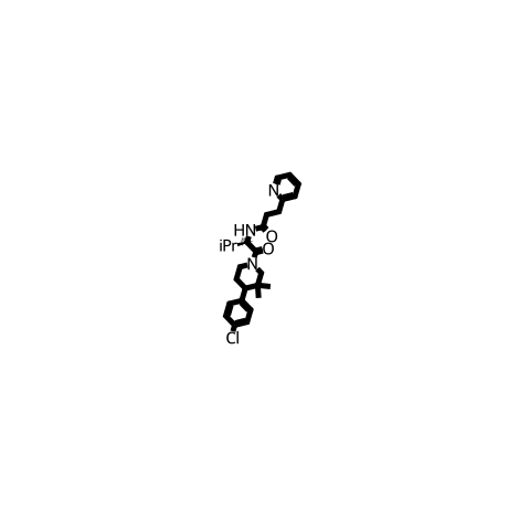 CC(C)[C@@H](NC(=O)CCc1ccccn1)C(=O)N1CCC(c2ccc(Cl)cc2)C(C)(C)C1